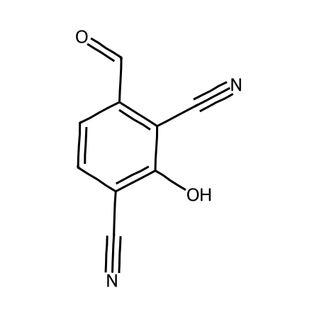 N#Cc1ccc(C=O)c(C#N)c1O